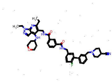 CCc1nc2c(cnn2CC)c(NC2CCOCC2)c1CNC(=O)c1cccc(C(=O)NCc2ccc(F)c(-c3cccc(CN4CCC(C#N)CC4)c3)c2)c1